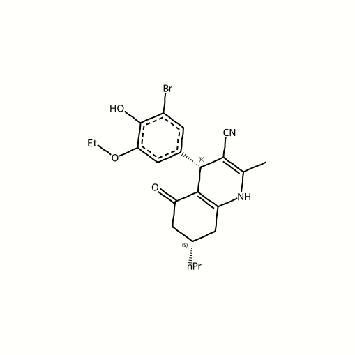 CCC[C@@H]1CC(=O)C2=C(C1)NC(C)=C(C#N)[C@H]2c1cc(Br)c(O)c(OCC)c1